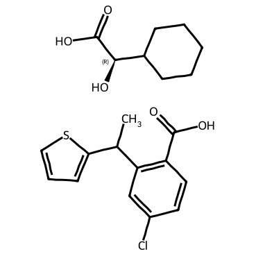 CC(c1cccs1)c1cc(Cl)ccc1C(=O)O.O=C(O)[C@H](O)C1CCCCC1